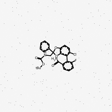 CC(C)(C)OC(=O)NCC1(c2ccccc2)Oc2ccc(Cl)c(-c3c(F)cccc3C(N)=O)c2O1